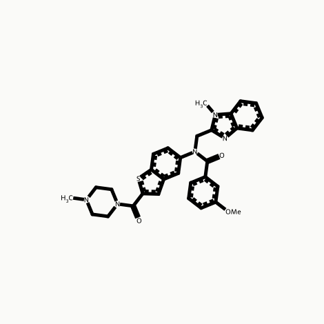 COc1cccc(C(=O)N(Cc2nc3ccccc3n2C)c2ccc3sc(C(=O)N4CCN(C)CC4)cc3c2)c1